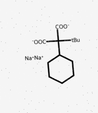 CC(C)(C)C(C(=O)[O-])(C(=O)[O-])C1CCCCC1.[Na+].[Na+]